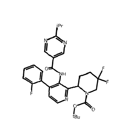 CC(C)c1ncc(C(=O)Nc2c(-c3ccccc3F)ccnc2C2CCC(F)(F)CN2C(=O)OC(C)(C)C)cn1